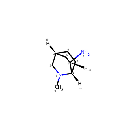 CN1C[C@@H]2CC[C@H]1[C@@H](N)C2